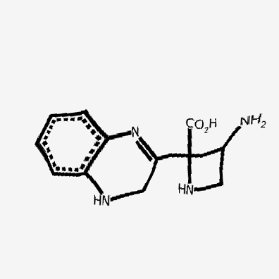 NC1CNC1(C(=O)O)C1=Nc2ccccc2NC1